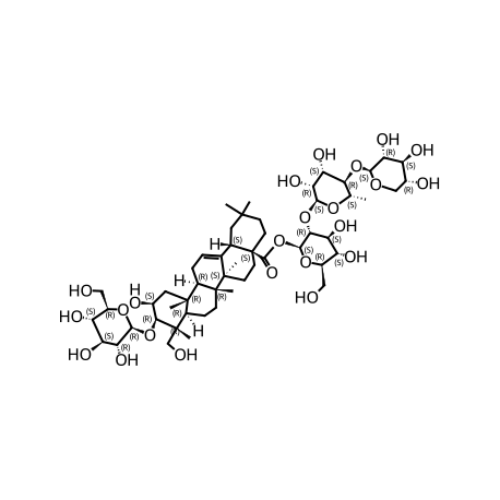 C[C@@H]1O[C@@H](O[C@H]2[C@H](OC(=O)[C@]34CCC(C)(C)C[C@H]3C3=CC[C@@H]5[C@@]6(C)C[C@H](O)[C@H](O[C@@H]7O[C@H](CO)[C@@H](O)[C@H](O)[C@H]7O)[C@@](C)(CO)[C@@H]6CC[C@@]5(C)[C@]3(C)CC4)O[C@H](CO)[C@@H](O)[C@@H]2O)[C@H](O)[C@H](O)[C@H]1O[C@@H]1OC[C@@H](O)[C@H](O)[C@H]1O